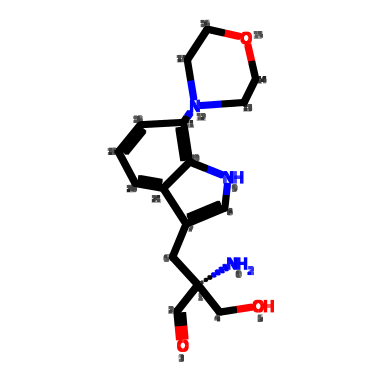 N[C@@](C=O)(CO)Cc1c[nH]c2c(N3CCOCC3)cccc12